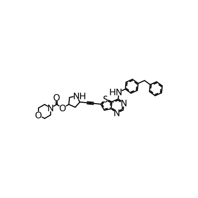 O=C(OC1CNC(C#Cc2cc3ncnc(Nc4ccc(Cc5ccccc5)cc4)c3s2)C1)N1CCOCC1